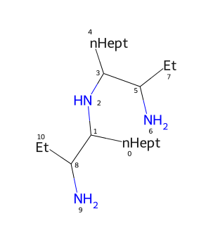 CCCCCCCC(NC(CCCCCCC)C(N)CC)C(N)CC